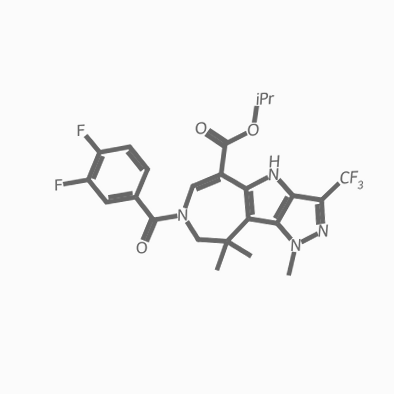 CC(C)OC(=O)C1=CN(C(=O)c2ccc(F)c(F)c2)CC(C)(C)c2c1[nH]c1c(C(F)(F)F)nn(C)c21